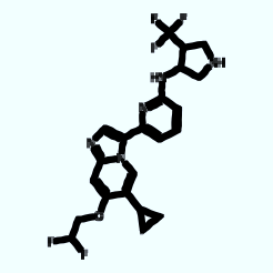 FC(F)COc1cc2ncc(-c3cccc(NC4CNCC4C(F)(F)F)n3)n2cc1C1CC1